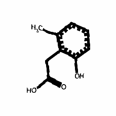 Cc1cccc(O)c1CC(=O)O